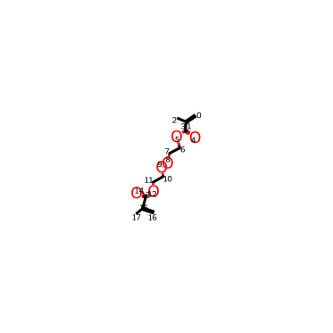 C=C(C)C(=O)OCCOOCCOC(=O)C(=C)C